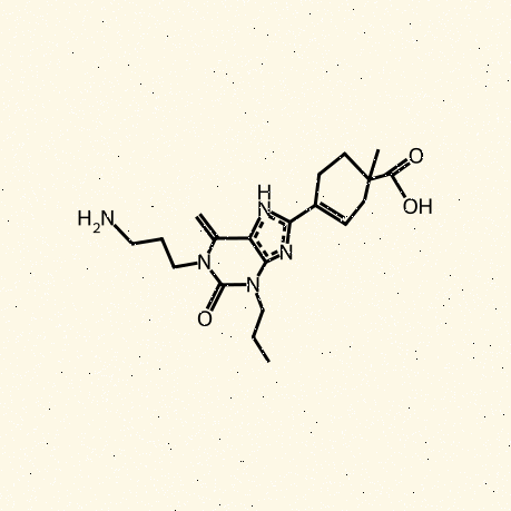 C=C1c2[nH]c(C3=CCC(C)(C(=O)O)CC3)nc2N(CCC)C(=O)N1CCCN